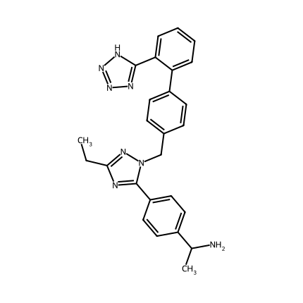 CCc1nc(-c2ccc(C(C)N)cc2)n(Cc2ccc(-c3ccccc3-c3nnn[nH]3)cc2)n1